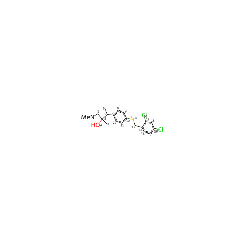 CNCC(C)(O)C(C)c1ccc(SCc2ccc(Cl)cc2Cl)cc1